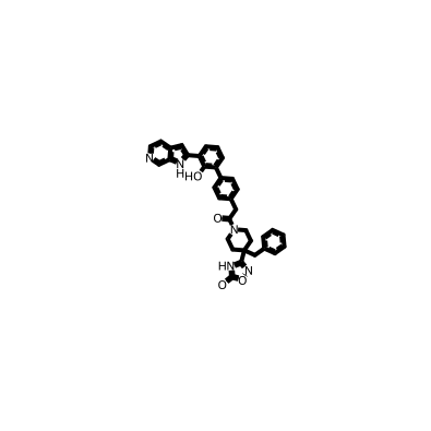 O=C(Cc1ccc(-c2cccc(-c3cc4ccncc4[nH]3)c2O)cc1)N1CCC(Cc2ccccc2)(c2noc(=O)[nH]2)CC1